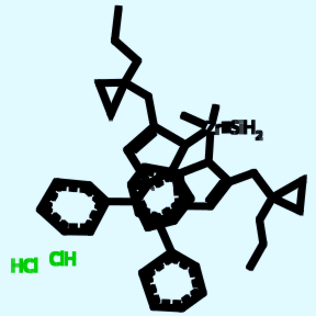 CCCC1(CC2=Cc3c(-c4ccccc4)cccc3[CH]2[Zr]([CH3])([CH3])(=[SiH2])[CH]2C(CC3(CCC)CC3)=Cc3c(-c4ccccc4)cccc32)CC1.Cl.Cl